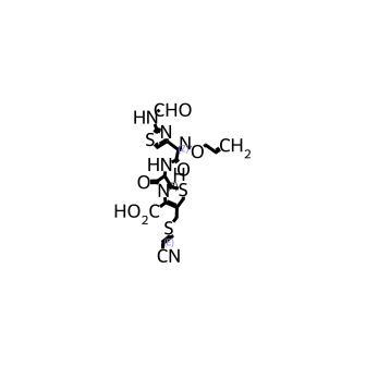 C=CCO/N=C(\C(=O)NC1C(=O)N2C(C(=O)O)=C(CS/C=C/C#N)CS[C@H]12)c1csc(NC=O)n1